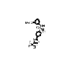 CCOP(=O)(Nc1cccc(OC)c1)c1ccc(-c2noc(C(F)(F)Cl)n2)cc1